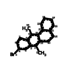 Cc1c2cc(Br)ccc2c(C)c2c1ccc1ccccc12